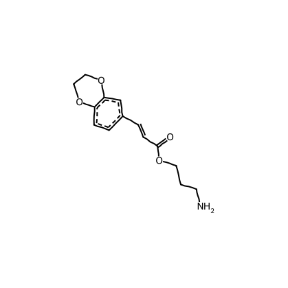 NCCCOC(=O)/C=C/c1ccc2c(c1)OCCO2